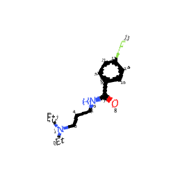 CCN(CC)CCCNC(=O)c1ccc(F)cc1